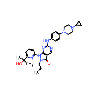 C=CCn1c(=O)c2cnc(Nc3ccc(N4CCN(C5CC5)CC4)cc3)nc2n1-c1cccc(C(C)(C)O)n1